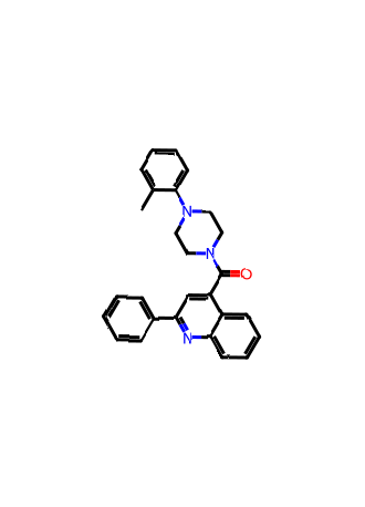 Cc1ccccc1N1CCN(C(=O)c2cc(-c3ccccc3)nc3ccccc23)CC1